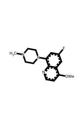 COc1ccnc2c(N3CCN(C)CC3)cc(F)cc12